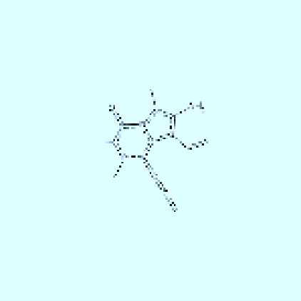 C=C=C=c1c(C)c(C)c(=O)n2c(C)c(N)c(C=C)c12